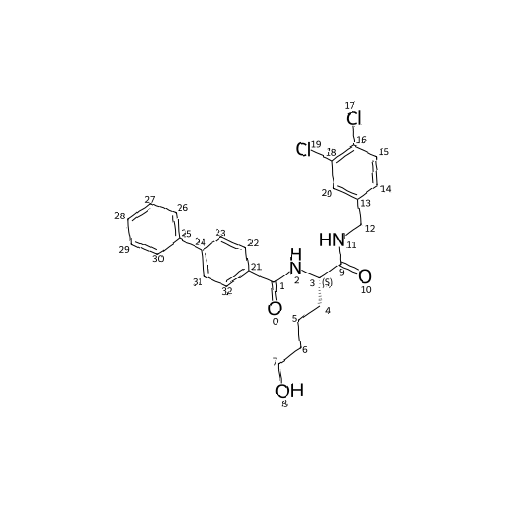 O=C(N[C@@H](CCCCO)C(=O)NCc1ccc(Cl)c(Cl)c1)c1ccc(-c2ccccc2)cc1